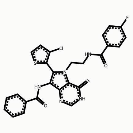 O=C(NCCn1c(-c2sccc2Cl)c(NC(=O)c2ccccc2)c2nc[nH]c(=S)c21)c1ccc(F)cc1